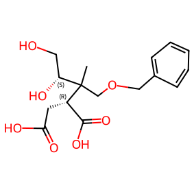 CC(COCc1ccccc1)([C@H](O)CO)[C@@H](CC(=O)O)C(=O)O